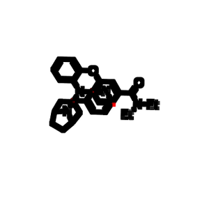 CCN(CC)C(=O)c1ccc2c(c1)Oc1ccccc1N2C1CC2CCC(C1)N2Cc1cccnc1